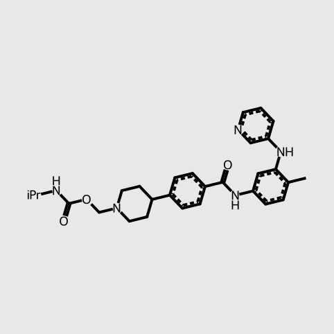 Cc1ccc(NC(=O)c2ccc(C3CCN(COC(=O)NC(C)C)CC3)cc2)cc1Nc1cccnc1